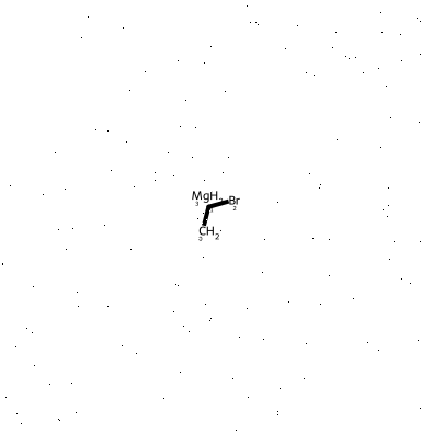 [CH2]CBr.[MgH2]